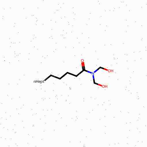 CCCCCCCCCC[CH]C(=O)N(CO)CO